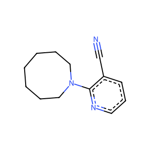 N#Cc1cccnc1N1CCCCCCC1